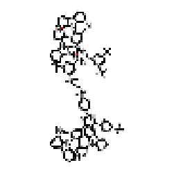 CC(C)(C)c1ccc(-c2nc(-c3ccc(C(C)(C)CCC(C)(C)c4cc(-c5nc(-c6cc(C(C)(C)C)cc(C(C)(C)C)c6)nc(-c6cc(C#N)c(-n7c8ccccc8c8ccccc87)c(-c7cnccc7-n7c8ccccc8c8ccccc87)c6)n5)cc(C(C)(C)C)c4)cc3)nc(-c3cc(C#N)c(-n4c5ccccc5c5ccccc54)c(-c4cnccc4-n4c5ccccc5c5ccccc54)c3)n2)cc1